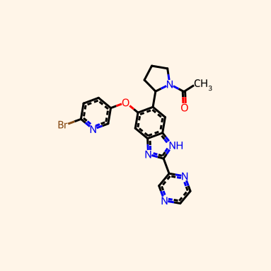 CC(=O)N1CCCC1c1cc2[nH]c(-c3cnccn3)nc2cc1Oc1ccc(Br)nc1